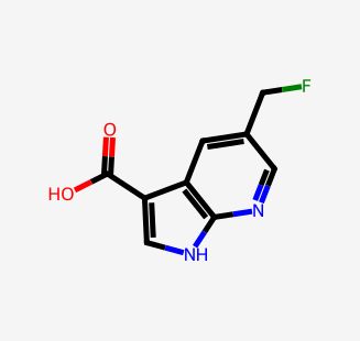 O=C(O)c1c[nH]c2ncc(CF)cc12